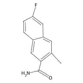 Cc1cc2cc(F)ccc2cc1C(N)=O